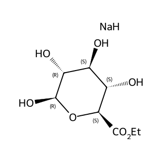 CCOC(=O)[C@H]1O[C@@H](O)[C@H](O)[C@@H](O)[C@@H]1O.[NaH]